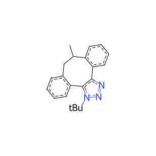 CC1Cc2ccccc2-c2c(nnn2C(C)(C)C)-c2ccccc21